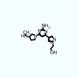 CN[C@@H]1CCN(c2cc(-c3cnn(CCO)c3)nc(N)n2)C1